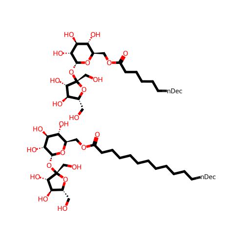 CCCCCCCCCCCCCCCC(=O)OC[C@H]1O[C@H](O[C@]2(CO)O[C@H](CO)[C@@H](O)[C@@H]2O)[C@H](O)[C@@H](O)[C@@H]1O.CCCCCCCCCCCCCCCCCCCCCC(=O)OC[C@H]1O[C@H](O[C@]2(CO)O[C@H](CO)[C@@H](O)[C@@H]2O)[C@H](O)[C@@H](O)[C@@H]1O